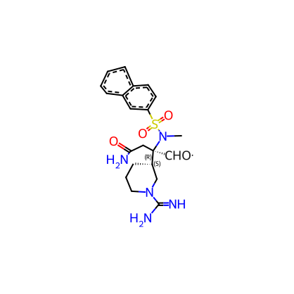 CN([C@]([C]=O)(CC(N)=O)[C@H]1CCCN(C(=N)N)C1)S(=O)(=O)c1ccc2ccccc2c1